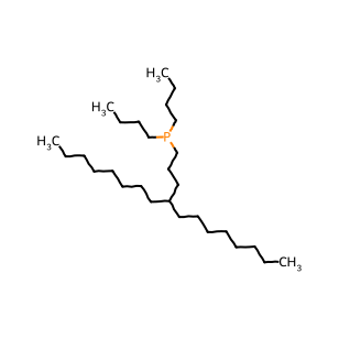 CCCCCCCCC(CCCCCCCC)CCCP(CCCC)CCCC